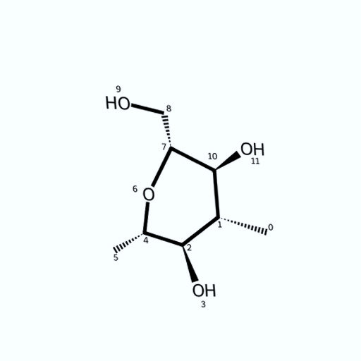 C[C@@H]1[C@@H](O)[C@H](C)O[C@H](CO)[C@H]1O